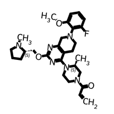 C=CC(=O)N1CCN(c2nc(OC[C@@H]3CCCN3C)nc3c2CCN(c2c(F)cccc2OC)C3)[C@@H](C)C1